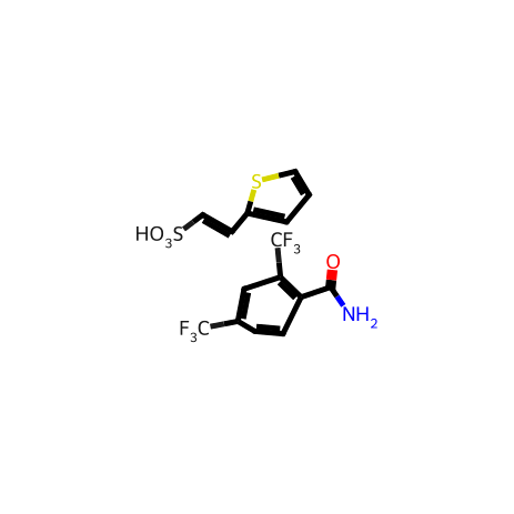 NC(=O)c1ccc(C(F)(F)F)cc1C(F)(F)F.O=S(=O)(O)/C=C/c1cccs1